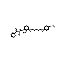 Cc1ccc(OCCCCCOc2cccc3c2CCN3C(=S)NC(=O)c2ccccn2)cc1